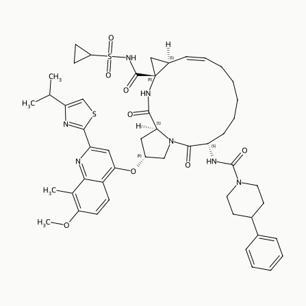 COc1ccc2c(O[C@@H]3C[C@H]4C(=O)N[C@]5(C(=O)NS(=O)(=O)C6CC6)C[C@H]5C=CCCCCC[C@H](NC(=O)N5CCC(c6ccccc6)CC5)C(=O)N4C3)cc(-c3nc(C(C)C)cs3)nc2c1C